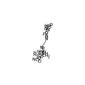 CC1(C)[C@H](NC(=O)c2ccc(CCCCCCN3CCN(c4cc5c(cc4F)C(=O)N(C4CCC(=O)NC4=O)C5)CC3)nc2)C(C)(C)[C@H]1Oc1ccc(C#N)c(Cl)c1